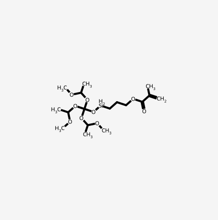 C=C(C)C(=O)OCCC[SiH2]OC(OC(C)OC)(OC(C)OC)OC(C)OC